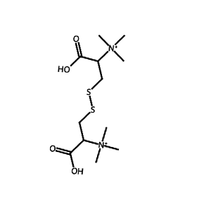 C[N+](C)(C)C(CSSCC(C(=O)O)[N+](C)(C)C)C(=O)O